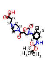 Cc1ccc(NC(=O)OC(C)(C)C)cc1N1CC(C(=O)N2CCN(CCC(=O)O)CC2)OC1=O